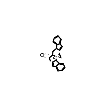 CC[CH](CC1C=Cc2ccccc21)[Zr+2]1([CH]2C=Cc3ccccc32)[CH2][CH2]1.[Cl-].[Cl-]